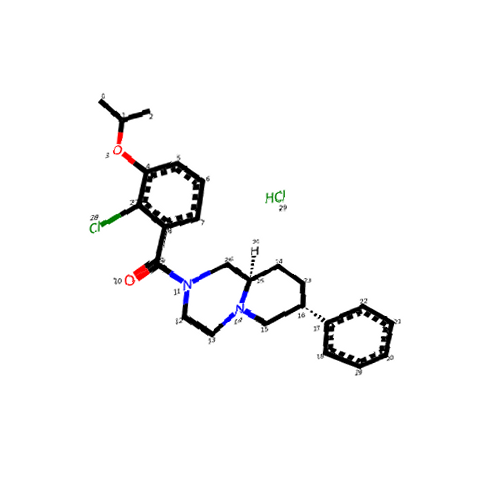 CC(C)Oc1cccc(C(=O)N2CCN3C[C@@H](c4ccccc4)CC[C@@H]3C2)c1Cl.Cl